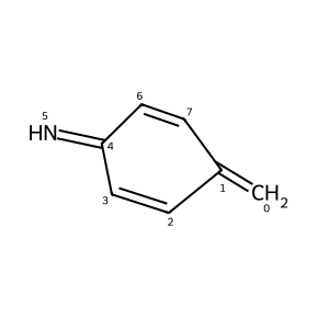 C=C1C=CC(=N)C=C1